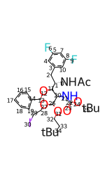 CC(=O)N[C@@H](Cc1cc(F)cc(F)c1)[C@H](OCc1ccccc1)[C@@H](NC(=O)OC(C)(C)C)C(OCCI)OCCC(C)(C)C